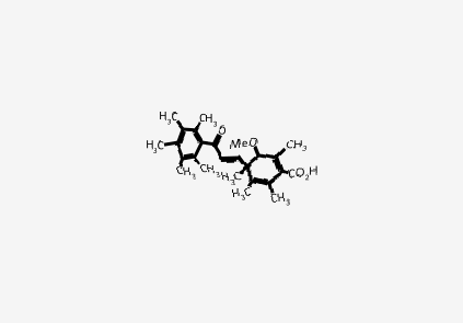 COC1C(C)=C(C(=O)O)C(C)=C(C)C1(C)C=CC(=O)c1c(C)c(C)c(C)c(C)c1C